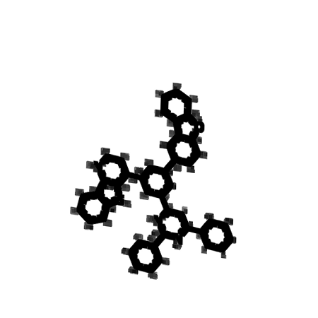 c1ccc(-c2cc(-c3cc(-c4ccc5oc6ccccc6c5c4)cc(-c4ccnc5c4sc4ccccc45)c3)nc(-c3ccccc3)n2)cc1